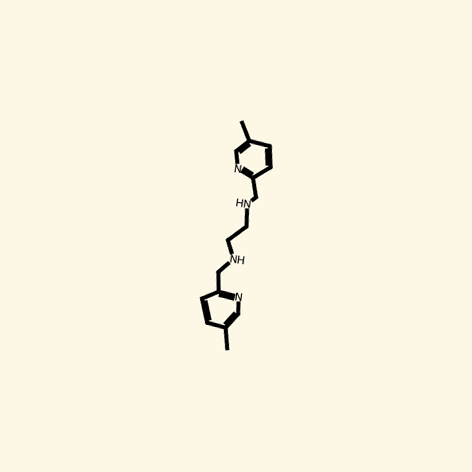 Cc1ccc(CNCCNCc2ccc(C)cn2)nc1